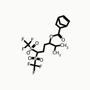 CC(C)C(CCC(S(=O)(=O)C(F)(F)F)S(=O)(=O)C(F)(F)F)OC(=O)C1CC2C=CC1C2